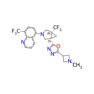 CN1CC(c2nnc([C@]34CN(c5ccc(C(F)(F)F)c6ncccc56)C[C@@]3(C(F)(F)F)C4)o2)C1